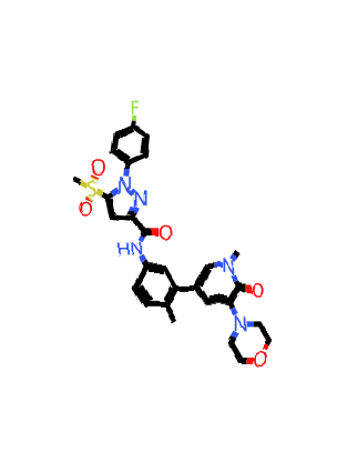 Cc1ccc(NC(=O)c2cc(S(C)(=O)=O)n(-c3ccc(F)cc3)n2)cc1-c1cc(N2CCOCC2)c(=O)n(C)c1